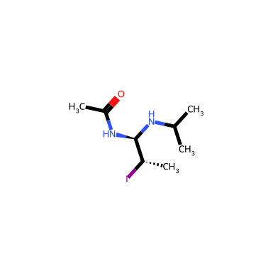 CC(=O)N[C@@H](NC(C)C)[C@H](C)I